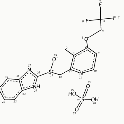 Cc1c(OCC(F)(F)F)ccnc1C[S+]([O-])c1nc2ccccc2[nH]1.O=S(=O)(O)O